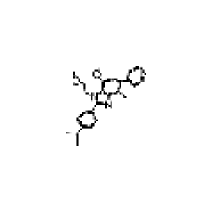 COCCn1c(-c2ccc(C(C)C)cc2)nc2c(I)c(-c3ccncc3)cc(OC)c21